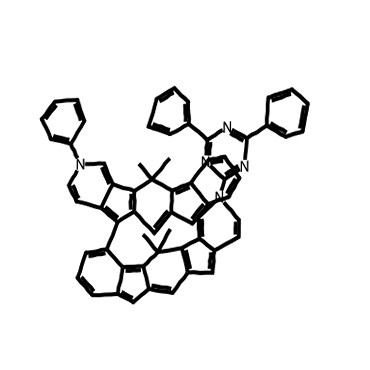 CC1(C)C2=c3c(-c4c5ccn(-c6ccccc6)cc-5c5c4C=C4C=c6ccccc6=C4C5(C)C)cccc3=CC2=Cc2cc3ccn(-c4nc(-c5ccccc5)nc(-c5ccccc5)n4)cc-3c21